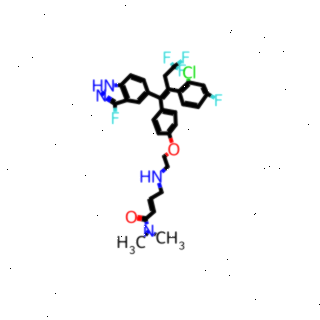 CN(C)C(=O)/C=C/CNCCOc1ccc(/C(=C(/CC(F)(F)F)c2ccc(F)cc2Cl)c2ccc3[nH]nc(F)c3c2)cc1